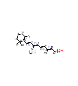 CC1=C(/C=C/C(C)=C/C=C/C(C)=C/CO)C(C)(C)CCC1.[LiH]